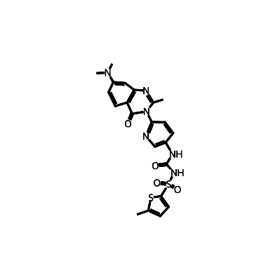 Cc1ccc(S(=O)(=O)NC(=O)Nc2ccc(-n3c(C)nc4cc(N(C)C)ccc4c3=O)nc2)s1